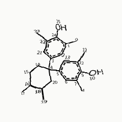 Cc1cc(C2(c3cc(C)c(O)c(C)c3)CCC(C)C(C)C2)cc(C)c1O